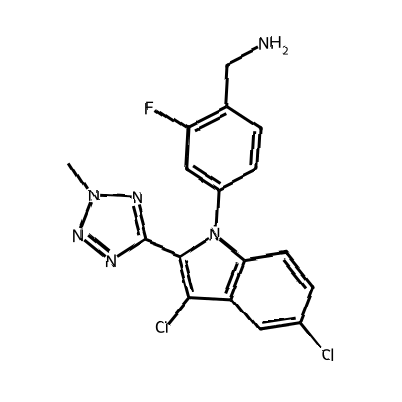 Cn1nnc(-c2c(Cl)c3cc(Cl)ccc3n2-c2ccc(CN)c(F)c2)n1